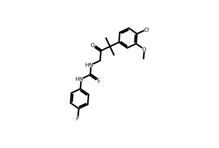 COc1cc(C(C)(C)C(=O)CNC(=S)Nc2ccc(F)cc2)ccc1Cl